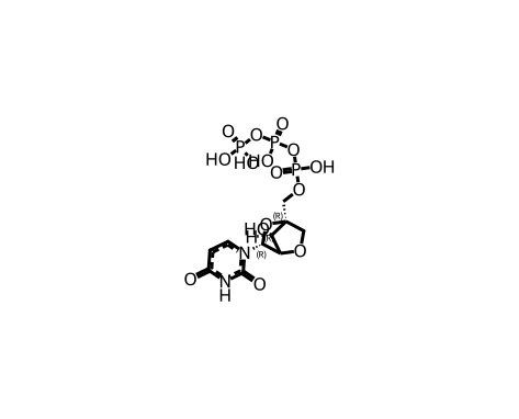 O=c1ccn([C@@H]2O[C@@]3(COP(=O)(O)OP(=O)(O)OP(=O)(O)O)COC2[C@H]3O)c(=O)[nH]1